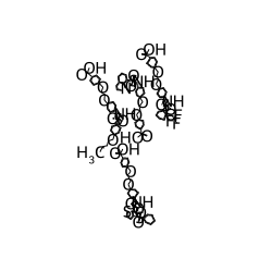 CCCCOc1ccc(S(=O)(=O)Nc2ccc(OCCOc3ccc(C(=O)O)cc3)cc2)cc1.O=C(O)c1ccc(OCCOc2ccc(NS(=O)(=O)c3cccc4cccnc34)cc2)cc1.O=C(O)c1ccc(OCCOc2ccc(NS(=O)(=O)c3ccccc3OC(F)(F)F)cc2)cc1.O=C(O)c1ccc(OCCOc2ccc(NS(=O)(=O)c3sccc3S(=O)(=O)c3ccccc3)cc2)cc1